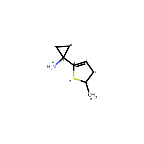 CC1CC=C(C2(N)CC2)S1